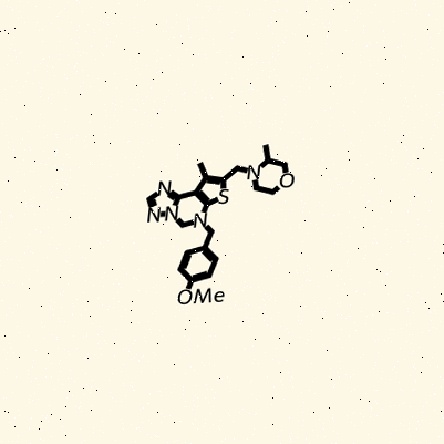 COc1ccc(CN2Cn3ncnc3-c3c2sc(CN2CCOCC2C)c3C)cc1